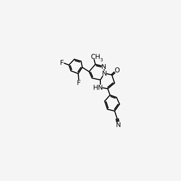 CC1=NN2C(=O)C=C(c3ccc(C#N)cc3)NC2C=C1c1ccc(F)cc1F